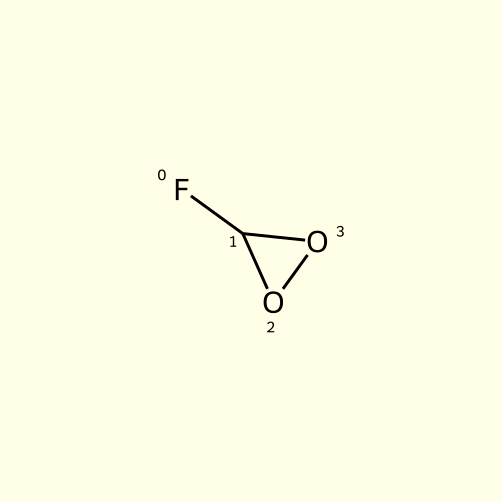 FC1OO1